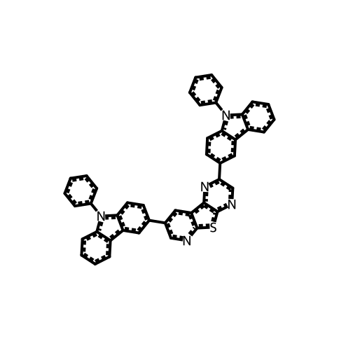 c1ccc(-n2c3ccccc3c3cc(-c4cnc5sc6ncc(-c7ccc8c(c7)c7ccccc7n8-c7ccccc7)nc6c5c4)ccc32)cc1